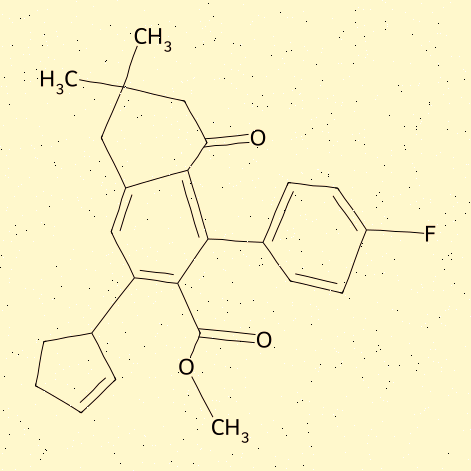 COC(=O)c1c(C2C=CCC2)cc2c(c1-c1ccc(F)cc1)C(=O)CC(C)(C)C2